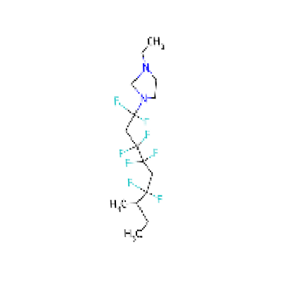 CCC(C)C(F)(F)CC(F)(F)C(F)(F)CC(F)(F)N1CCN(CC)C1